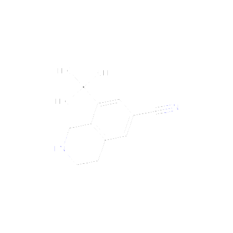 CC(C)(C)c1cc(C#N)cc2c1CNCC2